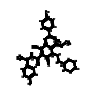 C\C=C(/C=c1/c(O)c(C(=O)NC(C)c2ccc(F)cc2)c(=O)n(CCN2CCOCC2)/c1=C\CC)c1ccc(F)cc1